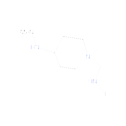 CNNC1CC[N+](C)(CNI)CC1